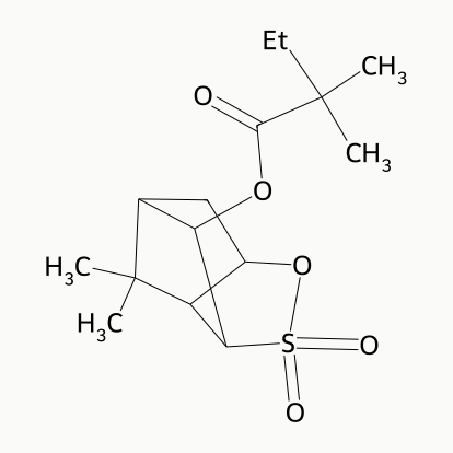 CCC(C)(C)C(=O)OC1C2CC3OS(=O)(=O)C1C3C2(C)C